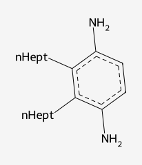 CCCCCCCc1c(N)ccc(N)c1CCCCCCC